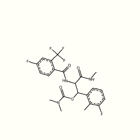 CNC(=O)C(NC(=O)c1ccc(F)cc1C(F)(F)F)C(OC(=O)N(C)C)c1cccc(F)c1C